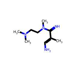 C/C(=C\N)C(=N)N(C)CCN(C)C